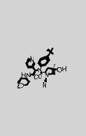 CC(C)(C)c1ccc(N(C(=O)[C@H]2C[C@@](C)(O)CN2C#N)C(C(=O)NC2CCOCC2)c2cccnc2)cc1